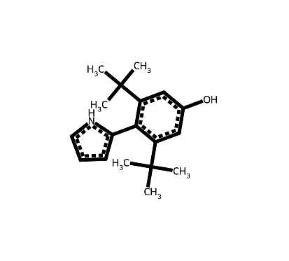 CC(C)(C)c1cc(O)cc(C(C)(C)C)c1-c1ccc[nH]1